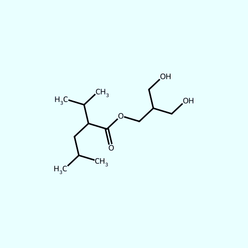 CC(C)CC(C(=O)OCC(CO)CO)C(C)C